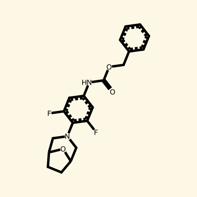 O=C(Nc1cc(F)c(N2CC3CCC(C2)O3)c(F)c1)OCc1ccccc1